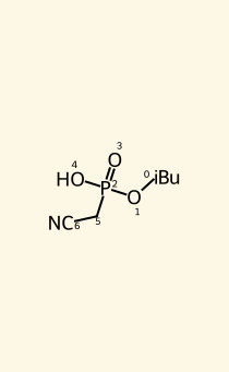 CCC(C)OP(=O)(O)CC#N